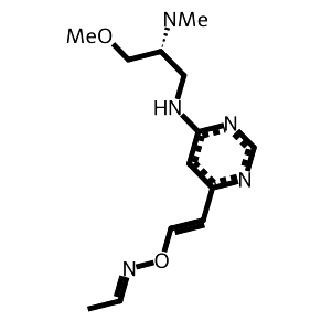 C/C=N/O/C=C/c1cc(NC[C@H](COC)NC)ncn1